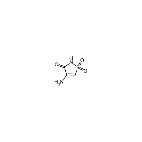 NC1=CS(=O)(=O)NC1=O